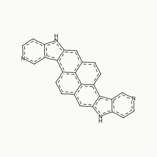 c1cc2[nH]c3cc4ccc5c6c(cc7ccc(c3c2cn1)c4c75)[nH]c1ccncc16